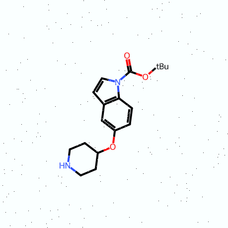 CC(C)(C)OC(=O)n1ccc2cc(OC3CCNCC3)ccc21